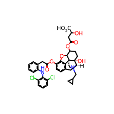 O=C(Cc1ccccc1Nc1c(Cl)cccc1Cl)Oc1ccc2c3c1OC1C(OC(=O)CC(O)C(=O)O)CC[C@@]4(O)[C@@H](C2)N(CC2CC2)CC[C@]314